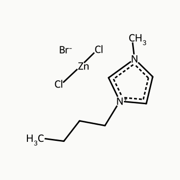 CCCC[n+]1ccn(C)c1.[Br-].[Cl][Zn][Cl]